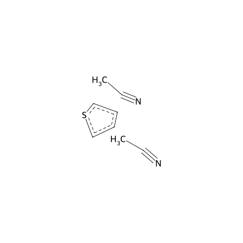 CC#N.CC#N.c1ccsc1